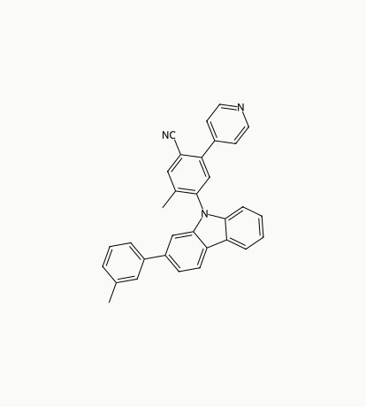 Cc1cccc(-c2ccc3c4ccccc4n(-c4cc(-c5ccncc5)c(C#N)cc4C)c3c2)c1